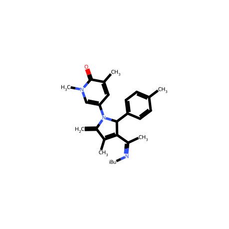 C=C1C(C)=C(/C(C)=N\C(C)CC)C(c2ccc(C)cc2)N1c1cc(C)c(=O)n(C)c1